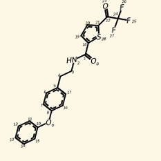 O=C(NCCc1ccc(Oc2ccccc2)cc1)c1ccc(C(=O)C(F)(F)F)s1